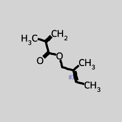 C=C(C)C(=O)OC/C(C)=C/C